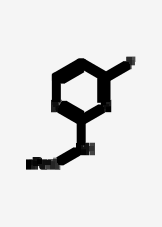 CCCCCNc1nccc(F)n1